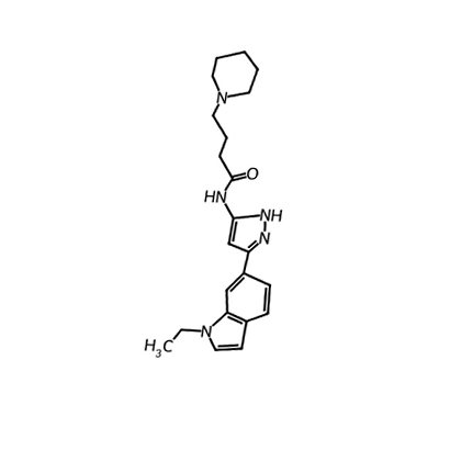 CCn1ccc2ccc(-c3cc(NC(=O)CCCN4CCCCC4)[nH]n3)cc21